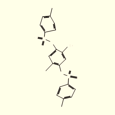 Cc1ccc(S(=O)(=O)Oc2cc(C(C)(C)C)c(SS(=O)(=O)c3ccc(C)cc3)cc2C)cc1